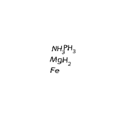 N.P.[Fe].[MgH2]